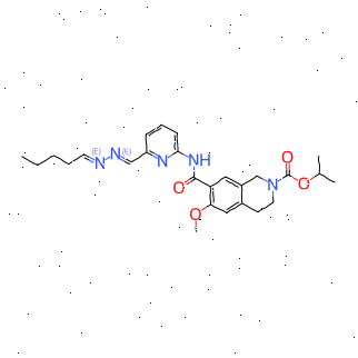 CCCC/C=N/N=C/c1cccc(NC(=O)c2cc3c(cc2OC)CCN(C(=O)OC(C)C)C3)n1